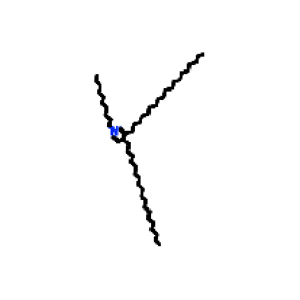 CCCCCCCCCCCCCCCCCCCc1cc[n+](CCCCCCCCCC)cc1CCCCCCCCCCCCCCCCCCC